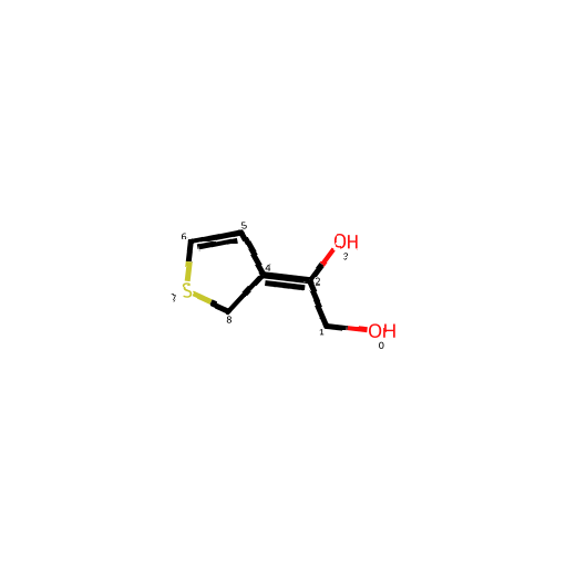 OCC(O)=C1C=CSC1